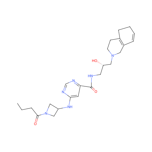 CCCC(=O)N1CC(Nc2cc(C(=O)NC[C@H](O)CN3CCC4=C(C=CCC4)C3)ncn2)C1